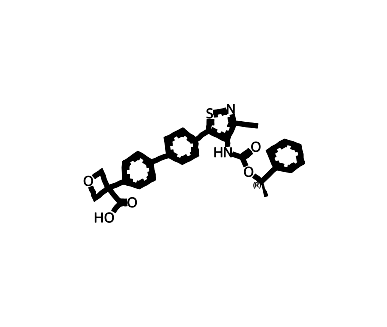 Cc1nsc(-c2ccc(-c3ccc(C4(C(=O)O)COC4)cc3)cc2)c1NC(=O)O[C@H](C)c1ccccc1